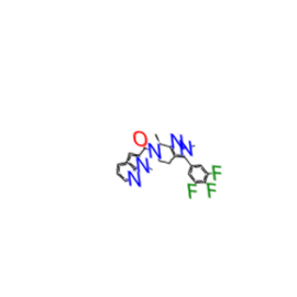 C[C@H]1c2nn(C)c(-c3cc(F)c(F)c(F)c3)c2CCN1C(=O)c1cc2cccnc2n1C